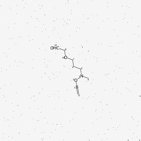 C=BON(C)CCCOCC=O